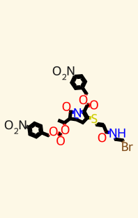 CC(OC(=O)OCc1ccc([N+](=O)[O-])cc1)C1C(=O)N2C(C(=O)OCc3ccc([N+](=O)[O-])cc3)=C(SC=CC(=O)NCCBr)CC12